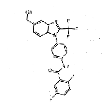 O=C(Nc1ccc(-n2c(C(F)(F)F)nc3cc(CO)ccc32)cc1)c1cc(F)ccc1F